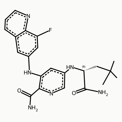 CC(C)(C)C[C@@H](Nc1cnc(C(N)=O)c(Nc2cc(F)c3ncccc3c2)c1)C(N)=O